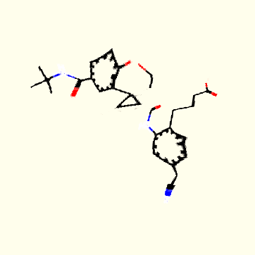 C[C@H]1[C@@H](C(=O)Nc2cc(C#N)ccc2CCCC(=O)O)[C@@]12CCOc1ccc(C(=O)NC(C)(C)C)cc12